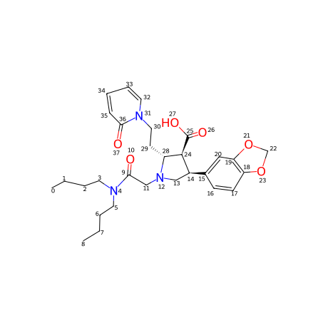 CCCCN(CCCC)C(=O)CN1C[C@H](c2ccc3c(c2)OCO3)[C@H](C(=O)O)[C@H]1CCn1ccccc1=O